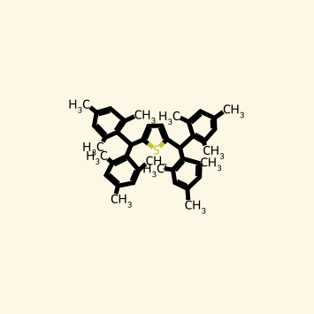 Cc1cc(C)c(C(c2ccc(C(c3c(C)cc(C)cc3C)c3c(C)cc(C)cc3C)s2)c2c(C)cc(C)cc2C)c(C)c1